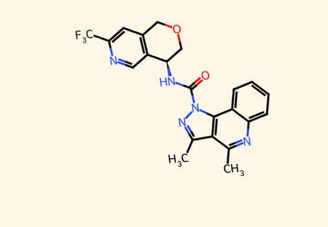 Cc1nc2ccccc2c2c1c(C)nn2C(=O)N[C@@H]1COCc2cc(C(F)(F)F)ncc21